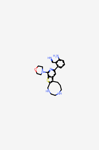 N=Cc1c(N)cccc1-c1cc2c3c(sc2c(N2CCOCC2)n1)CNCCNCCC3